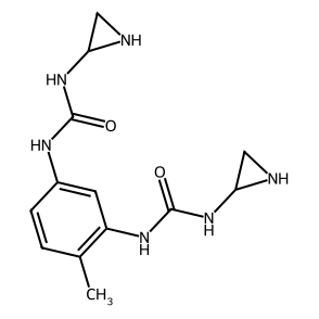 Cc1ccc(NC(=O)NC2CN2)cc1NC(=O)NC1CN1